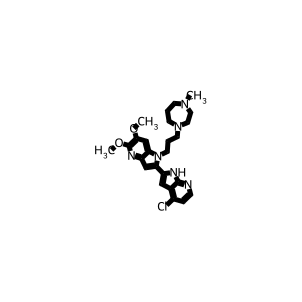 COc1cc2c(cc(-c3cc4c(Cl)ccnc4[nH]3)n2CCCN2CCCN(C)CC2)nc1OC